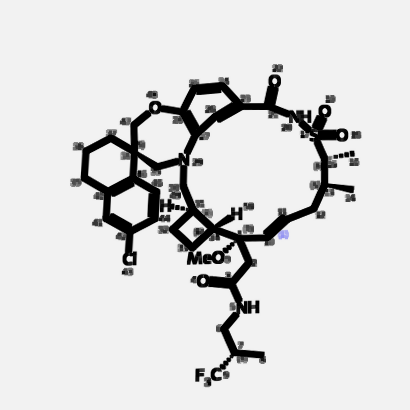 CO[C@@]1(CC(=O)NC[C@H](C)C(F)(F)F)/C=C/C[C@H](C)[C@@H](C)S(=O)(=O)NC(=O)c2ccc3c(c2)N(C[C@@H]2CC[C@H]21)C[C@@]1(CCCc2cc(Cl)ccc21)CO3